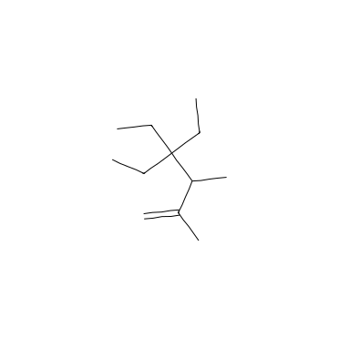 C=C(C)C(C)C(CC)(CC)CC